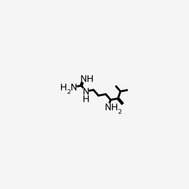 C=C(C(C)C)C(N)CCCNC(=N)N